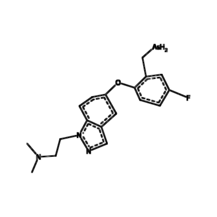 CN(C)CCn1ncc2cc(Oc3ccc(F)cc3C[AsH2])ccc21